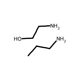 CCCN.NCCO